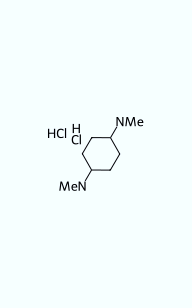 CNC1CCC(NC)CC1.Cl.Cl